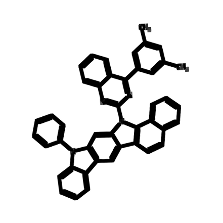 Cc1cc(C)cc(-c2nc(-n3c4cc5c(cc4c4ccc6ccccc6c43)c3ccccc3n5-c3ccccc3)nc3ccccc23)c1